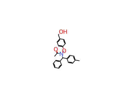 CC(=O)N(Oc1ccc(CO)cc1)C(c1ccccc1)c1ccc(C)cc1